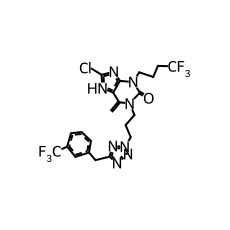 C=C1c2[nH]c(Cl)nc2N(CCCC(F)(F)F)C(=O)N1CCCn1nnc(Cc2cccc(C(F)(F)F)c2)n1